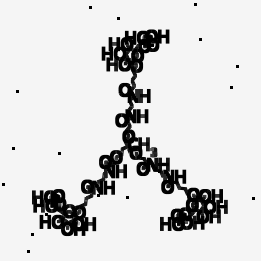 CC(CCOCC(=O)NCCCNC(=O)CCCCOC1OC(COP(=O)(O)O)C(O)C(O)C1O)(COCCC(=O)NCCCNC(=O)CCCCOC1OC(COP(=O)(O)O)C(O)C(O)C1O)COCCC(=O)NCCCNC(=O)CCCCOC1OC(COP(=O)(O)O)C(O)C(O)C1O